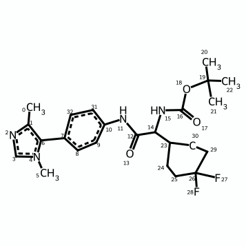 Cc1ncn(C)c1-c1ccc(NC(=O)C(NC(=O)OC(C)(C)C)C2CCC(F)(F)CC2)cc1